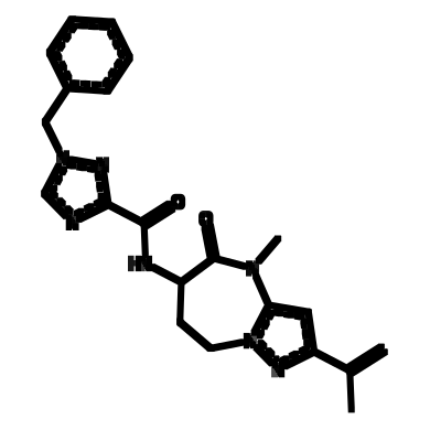 C=C(C)c1cc2n(n1)CCC(NC(=O)c1ncn(Cc3ccccc3)n1)C(=O)N2C